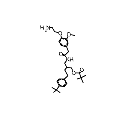 COc1cc(CC(=O)NCC(CCc2ccc(C(C)(C)C)cc2)COC(=O)C(C)(C)C)ccc1OCCN